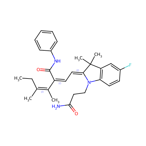 CC\C(C)=C(C)/C(=C/C=C1\N(CCC(N)=O)c2ccc(F)cc2C1(C)C)C(=O)Nc1ccccc1